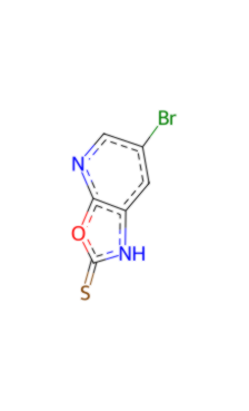 S=c1[nH]c2cc(Br)cnc2o1